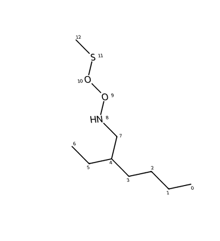 CCCCC(CC)CNOOSC